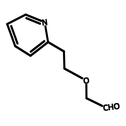 O=CCOCCc1ccccn1